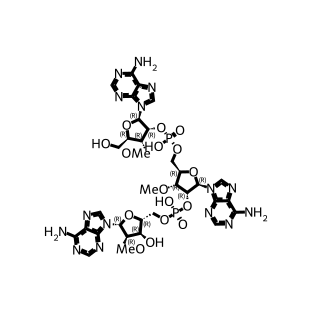 CO[C@@H]1[C@H](O)[C@@H](COP(=O)(O)O[C@@H]2[C@H](OC)[C@@H](COP(=O)(O)O[C@@H]3[C@H](OC)[C@@H](CO)O[C@H]3n3cnc4c(N)ncnc43)O[C@H]2n2cnc3c(N)ncnc32)O[C@H]1n1cnc2c(N)ncnc21